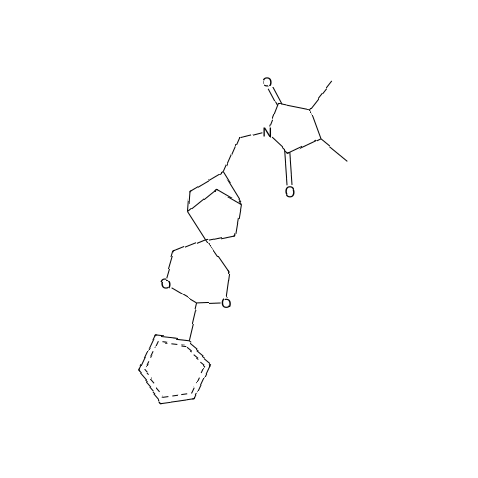 CC1C(=O)N(CC2CC3CC2CC32COC(c3ccccc3)OC2)C(=O)C1C